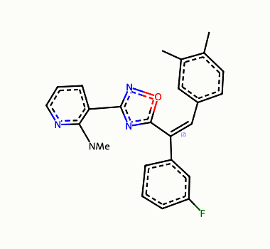 CNc1ncccc1-c1noc(/C(=C\c2ccc(C)c(C)c2)c2cccc(F)c2)n1